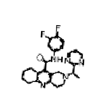 CC(c1ncccn1)N1CCc2nc3c(c(C(=O)Nc4ccc(F)c(F)c4)c2C1)CCCC3